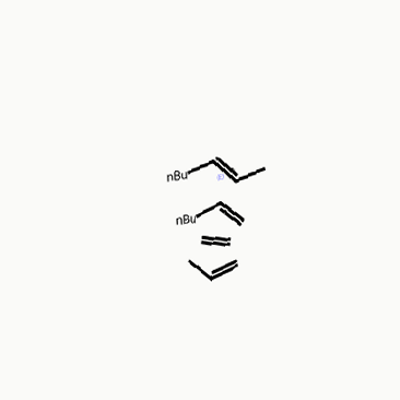 C/C=C/CCCC.C=C.C=CC.C=CCCCC